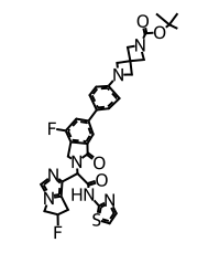 CC(C)(C)OC(=O)N1CC2(C1)CN(c1ccc(-c3cc(F)c4c(c3)C(=O)N(C(C(=O)Nc3nccs3)c3ncn5c3CC(F)C5)C4)cc1)C2